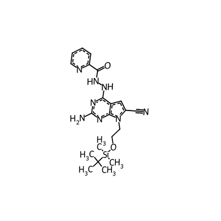 CC(C)(C)[Si](C)(C)OCCn1c(C#N)cc2c(NNC(=O)c3ccccn3)nc(N)nc21